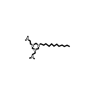 CCCCCCCCCCCCN1CN(CCN(C)C)CN(CCN(C)C)C1